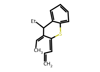 C=C/C=C1/Sc2ccccc2C(CC)/C1=C/C